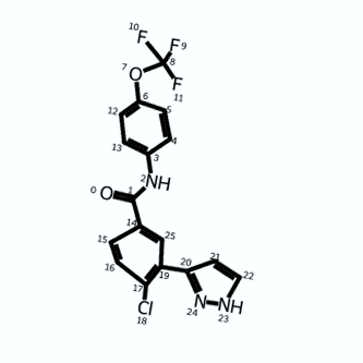 O=C(Nc1ccc(OC(F)(F)F)cc1)c1ccc(Cl)c(-c2cc[nH]n2)c1